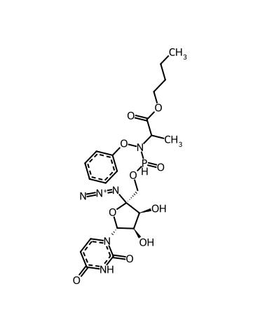 CCCCOC(=O)C(C)N(Oc1ccccc1)[PH](=O)OC[C@@]1(N=[N+]=[N-])O[C@@H](n2ccc(=O)[nH]c2=O)[C@H](O)[C@@H]1O